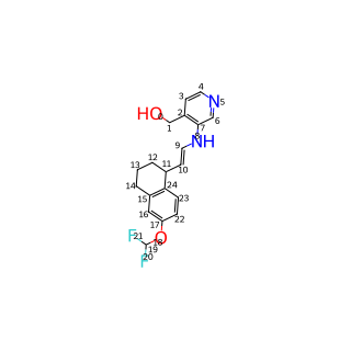 OCc1ccncc1N/C=C/C1CCCc2cc(OC(F)F)ccc21